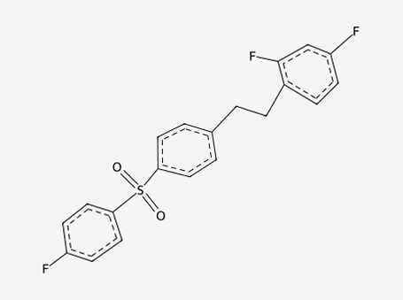 O=S(=O)(c1ccc(F)cc1)c1ccc(CCc2ccc(F)cc2F)cc1